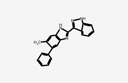 Cc1cc2[nH]c(-c3n[nH]c4ccccc34)nc2cc1-c1ccccc1